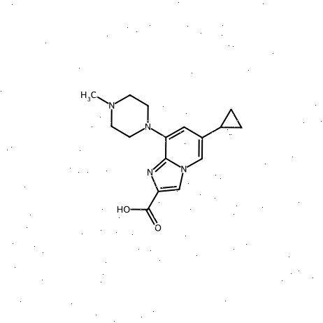 CN1CCN(c2cc(C3CC3)cn3cc(C(=O)O)nc23)CC1